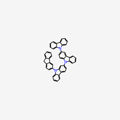 c1ccc2c(c1)Cc1ccc(-n3c4ccccc4c4ccc(-n5c6ccccc6c6cc(-n7c8ccccc8c8ccccc87)ccc65)cc43)cc1-2